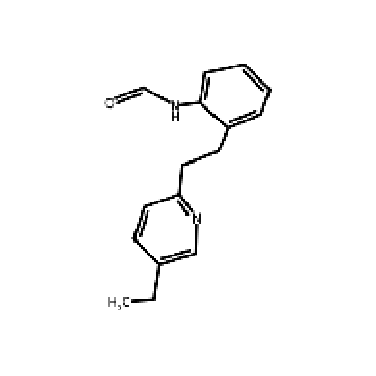 CCc1ccc(CCc2ccccc2NC=O)nc1